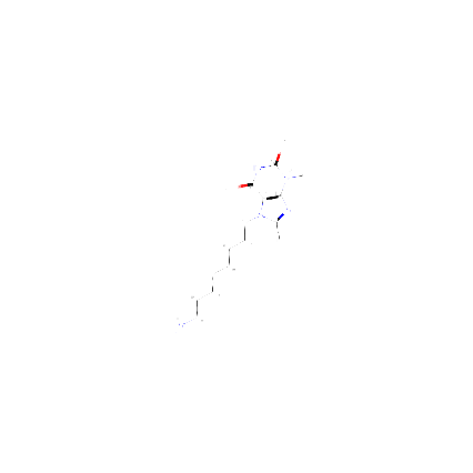 Cc1nc2c(c(=O)[nH]c(=O)n2C)n1CCCCCCCCN